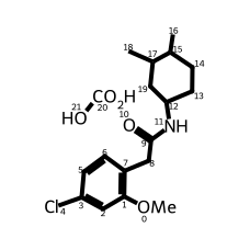 COc1cc(Cl)ccc1CC(=O)NC1CCC(C)C(C)C1.O=C(O)O